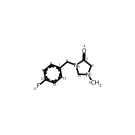 CN1CC(=O)N(Cc2ccc(F)cc2)C1